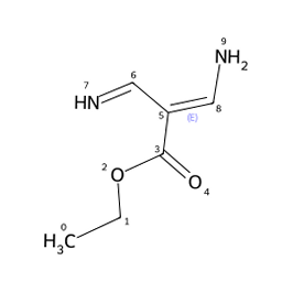 CCOC(=O)/C(C=N)=C/N